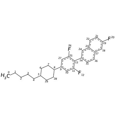 CCCCCC1CCC(c2cc(F)c(-c3ccc4cc(F)ccc4c3)c(F)c2)CC1